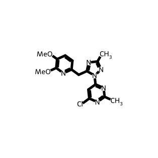 COc1ccc(Cc2nc(C)nn2-c2cc(Cl)nc(C)n2)nc1OC